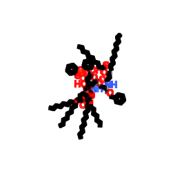 CCCCCCCCCCC[C@H](CC(=O)N[C@H](COCc1ccccc1)CO[C@H]1O[C@H](CO)[C@@H](OP(=O)(Oc2ccccc2)Oc2ccccc2)[C@@](O)(C(=O)C[C@@H](CCCCCCCCCCC)C(=O)CCCCCCCCC)[C@@H]1NC(=O)C[C@@H](CCCCCCCCCCC)OC(=O)CCCCCCCCC)OC(=O)CCCCCCCCC